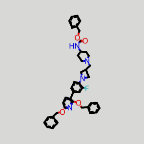 O=C(NC1CCN(CC2CN(c3ccc(-c4ccc(OCc5ccccc5)nc4OCc4ccccc4)cc3F)C2)CC1)OCc1ccccc1